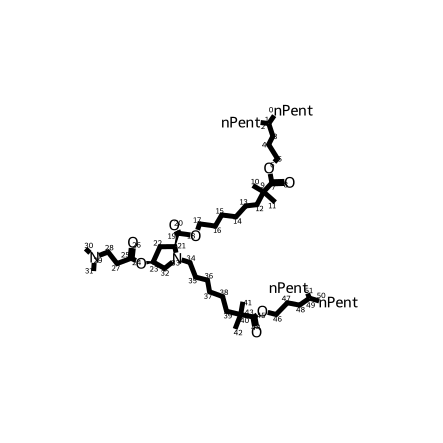 CCCCCC(CCCCC)CCCOC(=O)C(C)(C)CCCCCCOC(=O)[C@@H]1C[C@H](OC(=O)CCN(C)C)CN1CCCCCCC(C)(C)C(=O)OCCCC(CCCCC)CCCCC